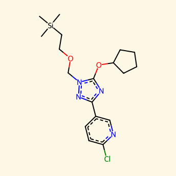 C[Si](C)(C)CCOCn1nc(-c2ccc(Cl)nc2)nc1OC1CCCC1